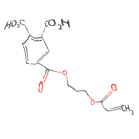 C=CC(=O)OCCOC(=O)c1ccc(C(=O)O)c(C(=O)O)c1